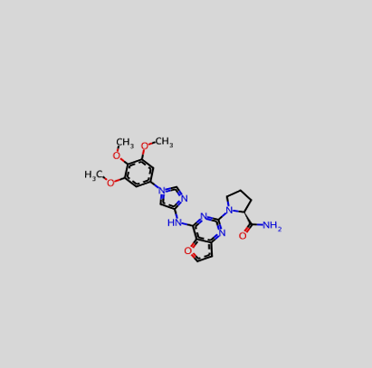 COc1cc(-n2cnc(Nc3nc(N4CCC[C@H]4C(N)=O)nc4ccoc34)c2)cc(OC)c1OC